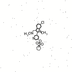 C=NCc1c(-c2cncc(OS(=O)(=O)N3CCCC3)c2)n(C)c2cc(Cl)ccc12